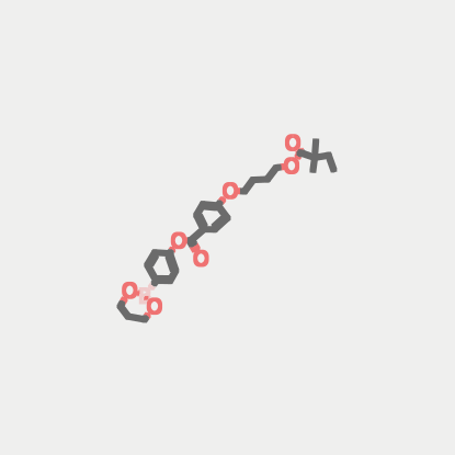 CCC(C)(C)C(=O)OCCCCOc1ccc(C(=O)Oc2ccc(B3OCCCO3)cc2)cc1